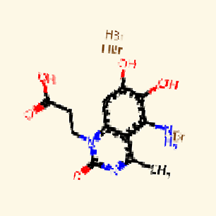 Br.Br.Br.Cc1nc(=O)n(CCC(=O)O)c2cc(O)c(O)c(N)c12